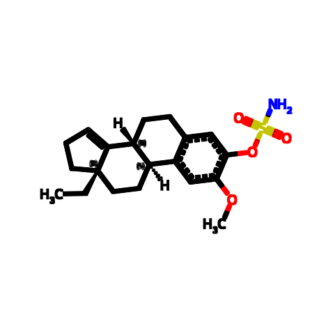 CC[C@@]12CCC=C1[C@@H]1CCc3cc(OS(N)(=O)=O)c(OC)cc3[C@H]1CC2